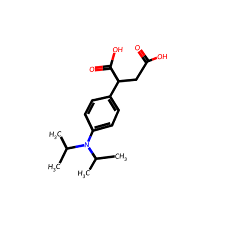 CC(C)N(c1ccc(C(CC(=O)O)C(=O)O)cc1)C(C)C